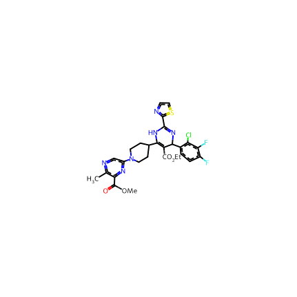 CCOC(=O)C1=C(C2CCN(c3cnc(C)c(C(=O)OC)n3)CC2)NC(c2nccs2)=NC1c1ccc(F)c(F)c1Cl